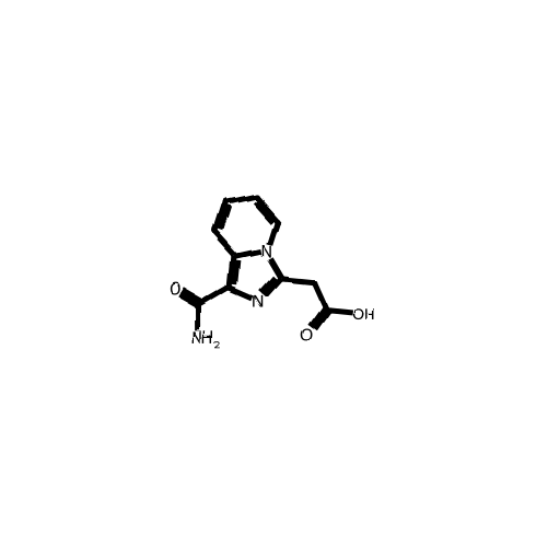 NC(=O)c1nc(CC(=O)O)n2ccccc12